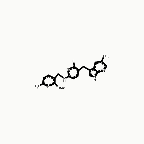 COc1nc(C(F)(F)F)ccc1CNc1ccc(Cc2c[nH]c3ncc(C)cc23)c(F)n1